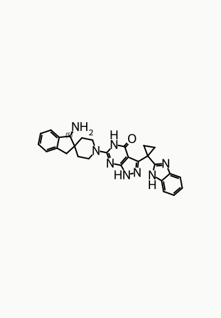 N[C@@H]1c2ccccc2CC12CCN(c1nc3[nH]nc(C4(c5nc6ccccc6[nH]5)CC4)c3c(=O)[nH]1)CC2